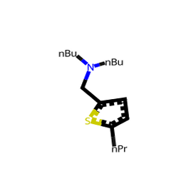 [CH2]CCc1ccc(CN(CCCC)CCCC)s1